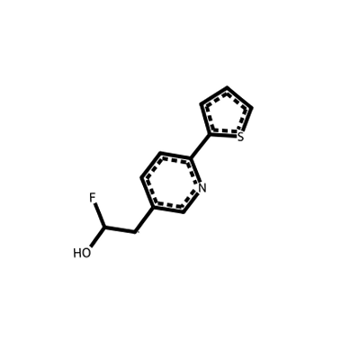 OC(F)[CH]c1ccc(-c2cccs2)nc1